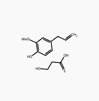 C=CCc1ccc(O)c(OC)c1.OCCC(O)=S